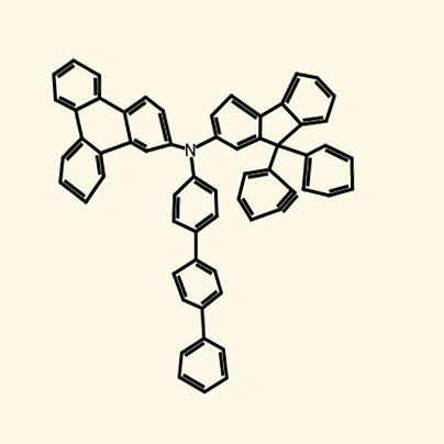 c1cccc(C2(c3ccccc3)c3ccccc3-c3ccc(N(c4ccc(-c5ccc(-c6ccccc6)cc5)cc4)c4ccc5c6ccccc6c6ccccc6c5c4)cc32)c#1